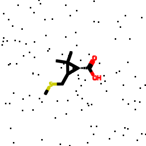 CSCC1[C@@H](C(=O)O)C1(C)C